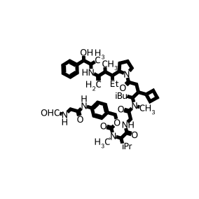 C=C(NC(C)C(O)c1ccccc1)C(C)C(CC)C1CCCN1C(=O)CC(C1CCC1)C(C(C)CC)N(C)C(=O)CNC(=O)C(C(C)C)N(C)C(=O)OCc1ccc(NC(=O)CNC=O)cc1